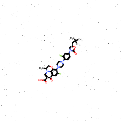 CC1COc2c(N3CCN(c4ccc(N5C[C@@H](CC(C)(C)C)OC5=O)cc4F)CC3)c(F)cc3c(=O)c(C(=O)O)cn1c23